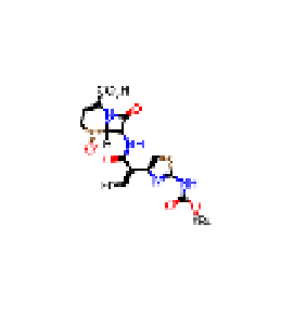 CC/C=C(\C(=O)N[C@@H]1C(=O)N2C(C(=O)O)=CC[S+]([O-])[C@@H]12)c1csc(NC(=O)OC(C)(C)C)n1